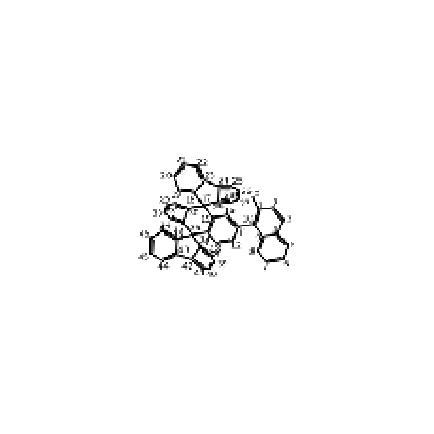 Cc1ccc2ccccc2c1-c1ccc2c(c1)C1(c3ccccc3-c3ccccc31)c1ccccc1C21c2ccccc2-c2ccccc21